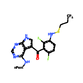 CCCCCNc1ncnc2[nH]cc(C(=O)c3c(F)ccc(NSCCC(F)(F)F)c3F)c12